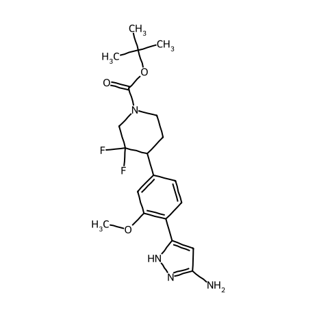 COc1cc(C2CCN(C(=O)OC(C)(C)C)CC2(F)F)ccc1-c1cc(N)n[nH]1